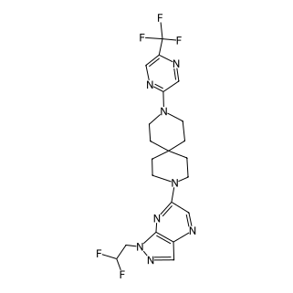 FC(F)Cn1ncc2ncc(N3CCC4(CCN(c5cnc(C(F)(F)F)cn5)CC4)CC3)nc21